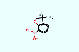 CC1(C)COc2c(B(O)O)cccc21